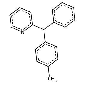 Cc1ccc(C(c2ccccc2)c2ccccn2)cc1